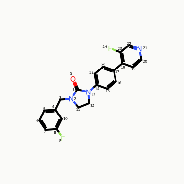 O=C1N(Cc2cccc(F)c2)CCN1c1ccc(-c2ccncc2F)cc1